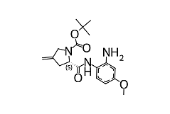 C=C1C[C@@H](C(=O)Nc2ccc(OC)cc2N)N(C(=O)OC(C)(C)C)C1